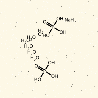 O.O.O.O.O.O.O=P(O)(O)O.O=P(O)(O)O.[NaH]